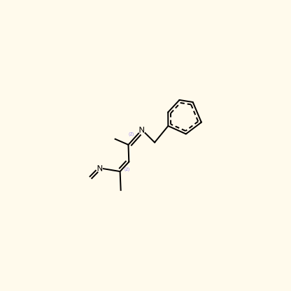 C=N/C(C)=C\C(C)=N/Cc1ccccc1